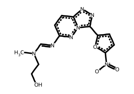 CN(C=Nc1ccc2nnc(-c3ccc([N+](=O)[O-])o3)n2n1)CCO